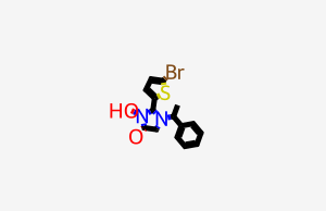 CC(c1ccccc1)N1CC(=O)N(O)C1c1ccc(Br)s1